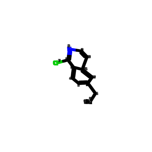 CC(C)(C)Cc1ccc2c(Cl)nccc2c1